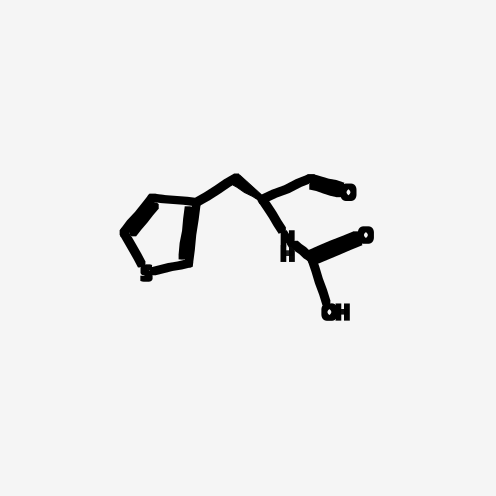 O=C[C@H](Cc1ccsc1)NC(=O)O